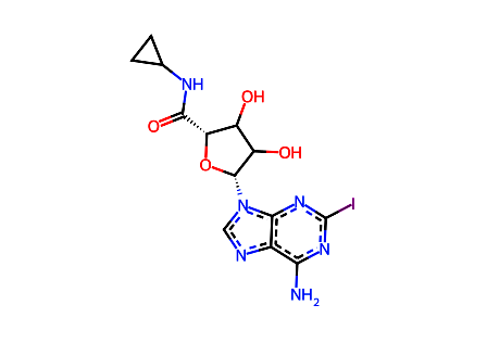 Nc1nc(I)nc2c1ncn2[C@@H]1O[C@H](C(=O)NC2CC2)C(O)C1O